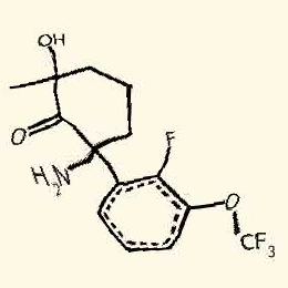 CC1(O)CCCC(N)(c2cccc(OC(F)(F)F)c2F)C1=O